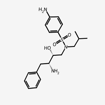 CC(C)CN(C[C@@H](O)[C@H](N)Cc1ccccc1)S(=O)(=O)c1ccc(N)cc1